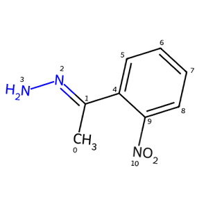 C/C(=N\N)c1ccccc1[N+](=O)[O-]